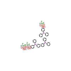 O=S(=O)(O)C(F)(F)F.O=S(=O)(O)C(F)(F)F.O=S(=O)(O)C(F)(F)F.c1ccc(P(c2ccccc2)c2ccccc2)cc1.c1ccc(P(c2ccccc2)c2ccccc2)cc1.c1ccc(P(c2ccccc2)c2ccccc2)cc1